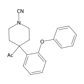 CC(=O)C1(c2ccccc2Oc2ccccc2)CCN(C#N)CC1